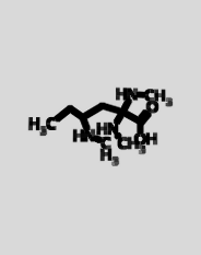 CCC(CC(NC)(NC)C(=O)O)NC